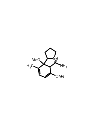 COC1=CC=C(C)C(OC)(C2CCCN2)C1C(N)=O